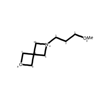 COCCCN1CC2(COC2)C1